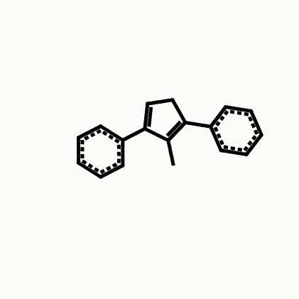 CC1=C(c2ccccc2)CC=C1c1ccccc1